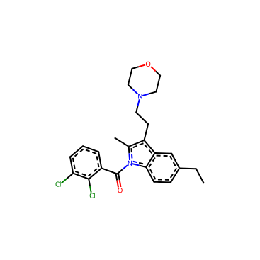 CCc1ccc2c(c1)c(CCN1CCOCC1)c(C)n2C(=O)c1cccc(Cl)c1Cl